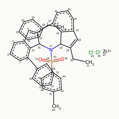 CCC1=Cc2cccc(-c3ccccc3)c2C1N(C1C(CC)=Cc2cccc(-c3ccccc3)c21)S(=O)(=O)c1ccc(C)cc1.[Cl-].[Cl-].[Zr+2]